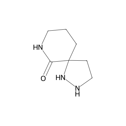 O=C1NCCCC12CCNN2